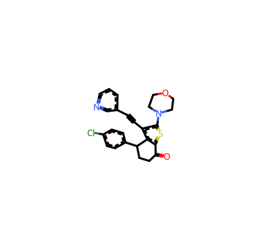 O=C1CCC(c2ccc(Cl)cc2)c2c1sc(N1CCOCC1)c2C#Cc1cccnc1